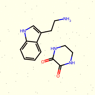 NCCc1c[nH]c2ccccc12.O=C1NCCNC1=O